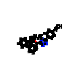 C#C[C@H]1CC[C@H](c2nnc(CO[Si](c3ccccc3)(c3ccccc3)C(C)(C)C)n2C)CC1